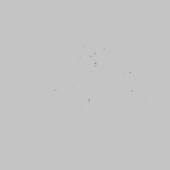 CC(C)(C)c1ccc2c(c1)[CH]([Zr+2][C]1=CC=CC1=C(c1ccc(C(F)(F)F)cc1)c1ccc(C(F)(F)F)cc1)c1cc(C(C)(C)C)ccc1-2.[Cl-].[Cl-]